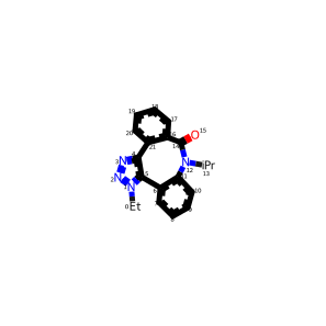 CCn1nnc2c1-c1ccccc1N(C(C)C)C(=O)c1ccccc1-2